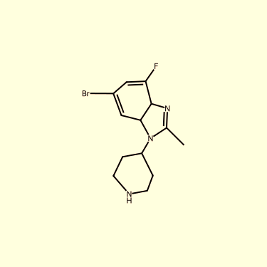 CC1=NC2C(F)=CC(Br)=CC2N1C1CCNCC1